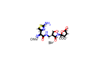 CO/N=C(\C(=O)NC[C@H]1CON(C2(C(=O)[O-])CCC(=O)O2)C1=O)c1csc(N)n1.[Na+]